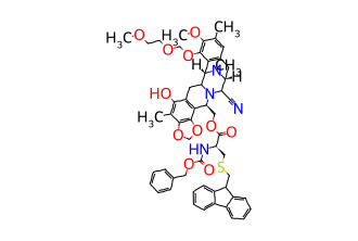 COCCOCOc1c(OC)c(C)cc2c1[C@H]1C3Cc4c(O)c(C)c5c(c4[C@H](COC(=O)[C@@H](CSCC4c6ccccc6-c6ccccc64)NC(=O)OCc4ccccc4)N3C(C#N)[C@@H](C2)N1C)OCO5